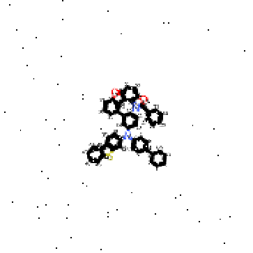 c1ccc(-c2ccc(N(c3cccc(-c4cccc5oc6ccc7oc(-c8ccccc8)nc7c6c45)c3)c3ccc4c(c3)sc3ccccc34)cc2)cc1